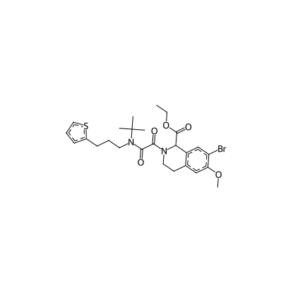 CCOC(=O)C1c2cc(Br)c(OC)cc2CCN1C(=O)C(=O)N(CCCc1cccs1)C(C)(C)C